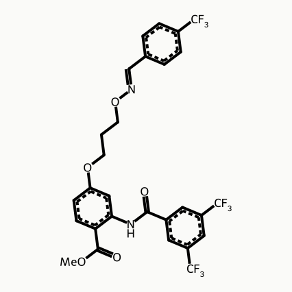 COC(=O)c1ccc(OCCCON=Cc2ccc(C(F)(F)F)cc2)cc1NC(=O)c1cc(C(F)(F)F)cc(C(F)(F)F)c1